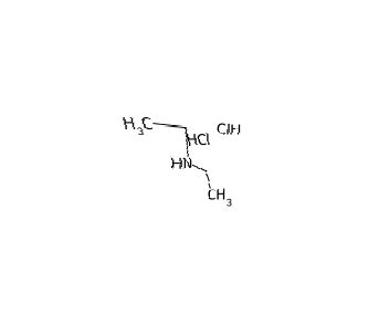 CCNCC.Cl.Cl